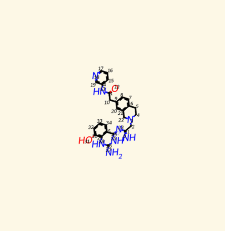 N=C(CN1CCc2ccc(CC(=O)Nc3cccnc3)cc2C1)/N=C1\NC(N)Nc2c(O)cccc21